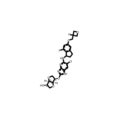 O[C@@H]1CO[C@H]2[C@@H]1OC[C@H]2Oc1nc2nc(NC3CCc4cc(OCC5(F)COC5)cc(F)c43)c(Cl)cc2[nH]1